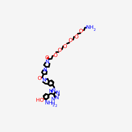 NCCOCCOCCOCCOCCOCCOCCC(=O)N1CCC(N2CCC(C(=O)N3CCc4cc(Cn5nc(-c6ccc(O)c(N)c6)c6c(N)ncnc65)ccc4C3)CC2)CC1